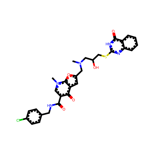 CN(Cc1cc2c(=O)c(C(=O)NCc3ccc(Cl)cc3)cn(C)c2o1)CC(O)CSc1nc2ccccc2c(=O)[nH]1